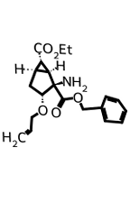 C=CCO[C@@H]1C[C@H]2[C@H](C(=O)OCC)[C@H]2[C@]1(N)C(=O)OCc1ccccc1